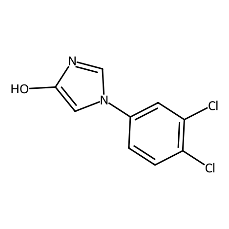 Oc1cn(-c2ccc(Cl)c(Cl)c2)cn1